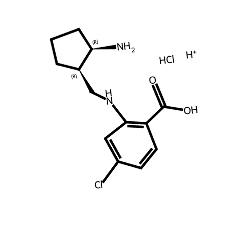 Cl.N[C@@H]1CCC[C@@H]1CNc1cc(Cl)ccc1C(=O)O.[H+]